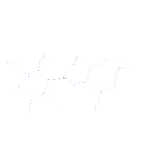 CCCCc1c(C(=O)Nc2c(CC)cc(Br)cc2CC)c(=O)c(C)c(C)n1CC